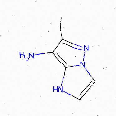 Cc1nn2cc[nH]c2c1N